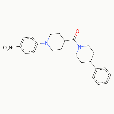 O=C(C1CCN(c2ccc([N+](=O)[O-])cc2)CC1)N1CCC(c2ccccc2)CC1